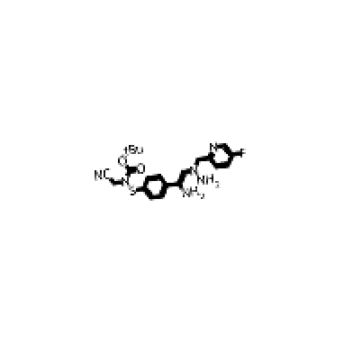 CC(C)(C)OC(=O)N(CC#N)Sc1ccc(/C(N)=C/N(N)Cc2ccc(F)cn2)cc1